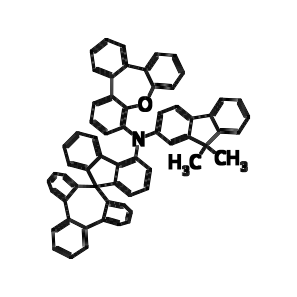 CC1(C)c2ccccc2-c2ccc(N(c3cccc4c3Oc3ccccc3-c3ccccc3-4)c3cccc4c3-c3ccccc3C43c4ccccc4-c4ccccc4-c4ccccc43)cc21